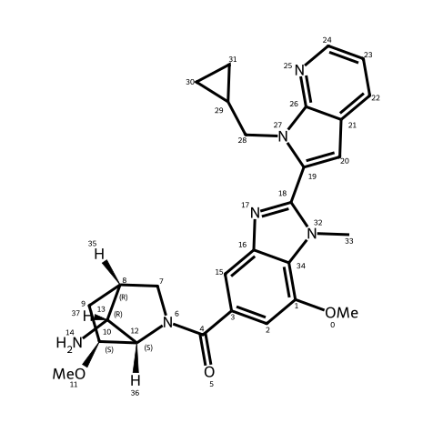 COc1cc(C(=O)N2C[C@H]3C[C@H](OC)[C@@H]2[C@@H]3N)cc2nc(-c3cc4cccnc4n3CC3CC3)n(C)c12